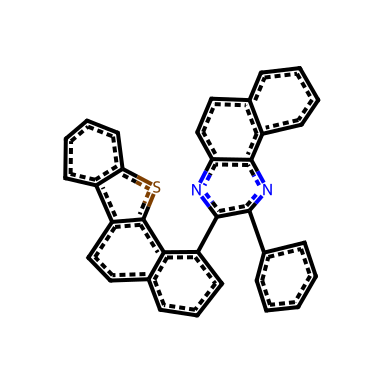 c1ccc(-c2nc3c(ccc4ccccc43)nc2-c2cccc3ccc4c5ccccc5sc4c23)cc1